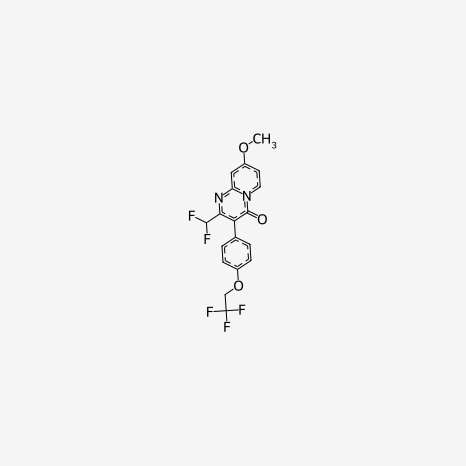 COc1ccn2c(=O)c(-c3ccc(OCC(F)(F)F)cc3)c(C(F)F)nc2c1